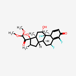 COC(OC)C(=O)[C@@]1(O)[C@H](C)C[C@H]2[C@@H]3C[C@H](F)C4=C(F)C(=O)C=C[C@]4(C)[C@@]3(F)[C@@H](O)C[C@@]21C